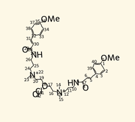 COc1ccc(C=CC(=O)NCCC[N+](C)(C)CCOCC[N+](C)(C)CCCNC(=O)C=Cc2ccc(OC)cc2)cc1.[Cl-].[Cl-]